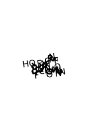 C#Cc1c(F)ccc2cc(O)cc(-c3ncc4c(N5CCOCC6(CN(C(=O)n7cncn7)C6)C5)nc(OC[C@@]56CCCN5C[C@H](F)C6)nc4c3F)c12